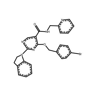 O=C(NCc1ccccn1)c1cnc(N2CCc3ccccc32)nc1OCc1ccc(Br)cc1